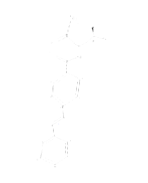 C[C@@H](N)[C@H](NC(=O)c1ccc(/C=C/c2ccccc2)cc1)C(N)=O